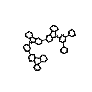 c1ccc(-c2cc(-c3ccccc3)nc(-n3c4ccccc4c4cc(-c5ccc6c(c5)c5ccccc5n6-c5cccc(-c6ccc7c8ccccc8c8ccccc8c7c6)c5)ccc43)c2)cc1